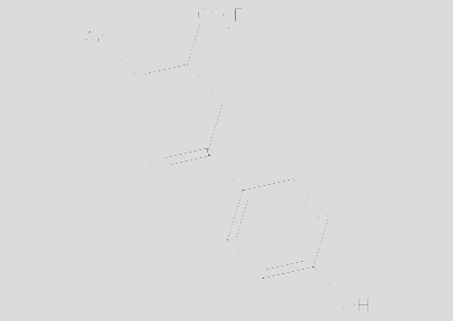 CCOC(=O)C(CC(=O)c1ccc(O)cc1)SC(C)=O